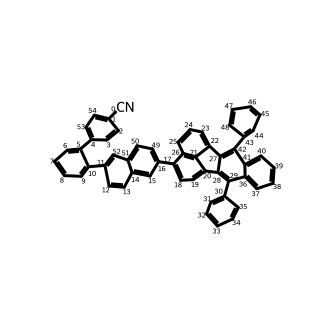 N#Cc1ccc(-c2ccccc2-c2ccc3cc(-c4ccc5c6c(cccc46)-c4c-5c(-c5ccccc5)c5ccccc5c4-c4ccccc4)ccc3c2)cc1